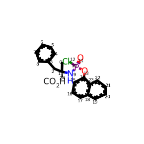 C[C@@](Cc1ccccc1)(NP(=O)(Cl)Oc1cccc2ccccc12)C(=O)O